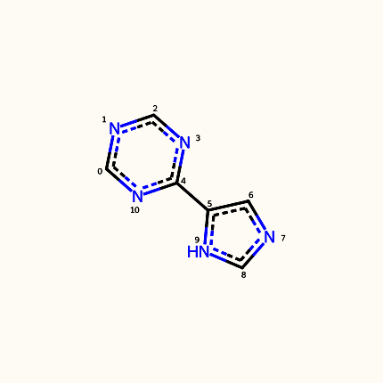 c1ncnc(-c2cnc[nH]2)n1